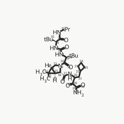 CC(C)NC(=O)[C@@H](NC(=O)N[C@H](C(=O)N1C[C@H]2[C@@H]([C@H]1C(=O)NC(CC1CCC1)C(=O)C(N)=O)C2(C)C)C(C)(C)C)C(C)(C)C